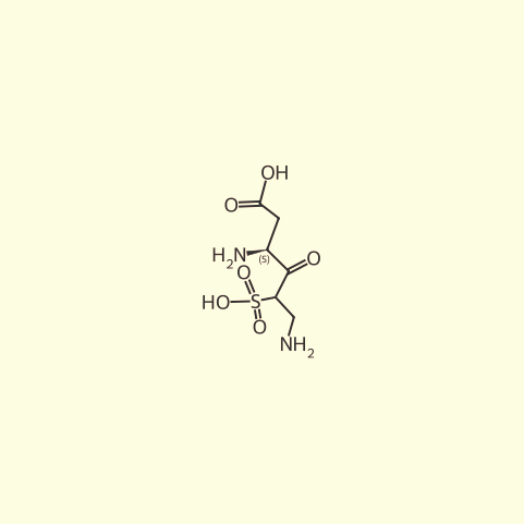 NCC(C(=O)[C@@H](N)CC(=O)O)S(=O)(=O)O